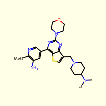 CCN(C)C1CCN(Cc2csc3c(-c4cnc(OC)c(N)c4)nc(N4CCOCC4)nc23)CC1